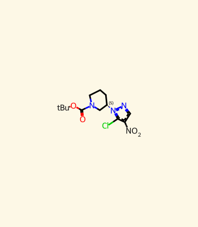 CC(C)(C)OC(=O)N1CCC[C@H](n2ncc([N+](=O)[O-])c2Cl)C1